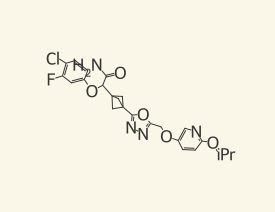 CC(C)Oc1ccc(OCc2nnc(C34CC(C(Oc5ccc(Cl)c(F)c5)C(N)=O)(C3)C4)o2)cn1